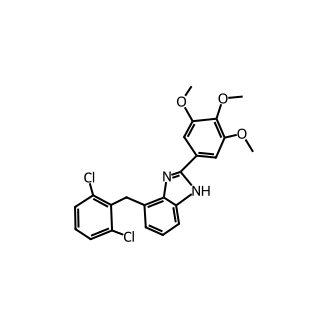 COc1cc(-c2nc3c(Cc4c(Cl)cccc4Cl)cccc3[nH]2)cc(OC)c1OC